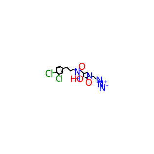 [N-]=[N+]=NCCN1CC(C(=O)NCCCc2ccc(Cl)c(Cl)c2)C(O)C1=O